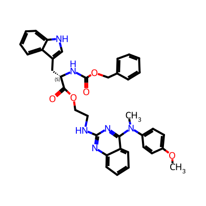 COc1ccc(N(C)c2nc(NCCOC(=O)[C@H](Cc3c[nH]c4ccccc34)NC(=O)OCc3ccccc3)nc3ccccc23)cc1